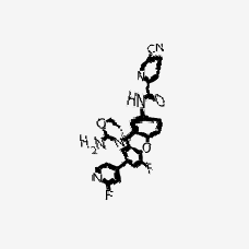 N#Cc1ccc(C(=O)Nc2ccc3c(c2)[C@@]2(CCOC(N)=N2)c2cc(-c4ccnc(F)c4)cc(F)c2O3)nc1